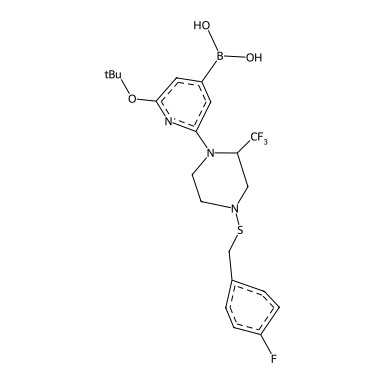 CC(C)(C)Oc1cc(B(O)O)cc(N2CCN(SCc3ccc(F)cc3)CC2C(F)(F)F)n1